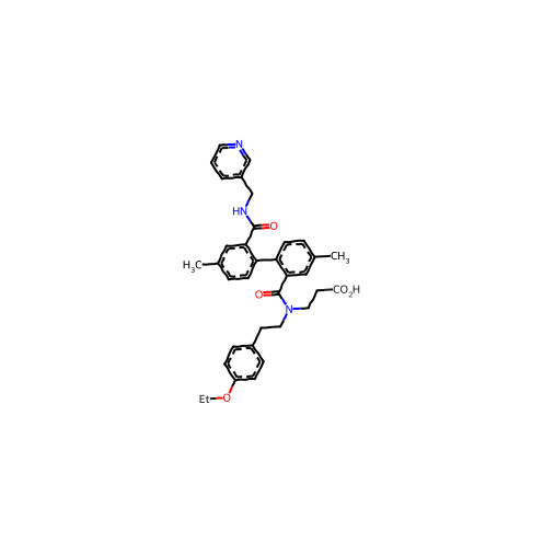 CCOc1ccc(CCN(CCC(=O)O)C(=O)c2cc(C)ccc2-c2ccc(C)cc2C(=O)NCc2cccnc2)cc1